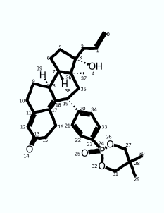 C=CC[C@]1(O)CC[C@H]2[C@@H]3CCC4=CC(=O)CCC4=C3[C@@H](c3ccc(P4(=O)OCC(C)(C)CO4)cc3)C[C@@]21C